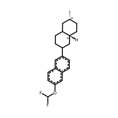 C[C@@H]1CC[C@@H]2CC(c3ccc4cc(OC(F)F)ccc4c3)CCC2C1